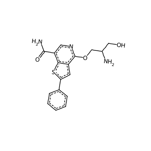 NC(=O)c1cnc(OCC(N)CO)c2cc(-c3ccccc3)sc12